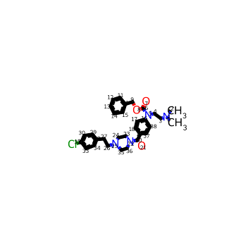 CN(C)CCN(C(=O)OCc1ccccc1)c1ccc(C(=O)N2CCN(CCc3ccc(Cl)cc3)CC2)cc1